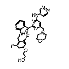 OCCOc1cc(F)c(Cn2nc(-c3nc(CN4CCOCC4)cc(Nc4ccnnc4)n3)c3ccccc32)c(F)c1